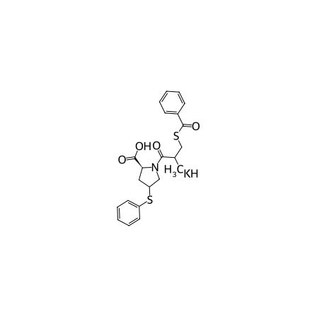 CC(CSC(=O)c1ccccc1)C(=O)N1CC(Sc2ccccc2)C[C@H]1C(=O)O.[KH]